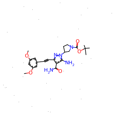 COc1cc(C#Cc2nn(C3CCN(C(=O)OC(C)(C)C)C3)c(N)c2C(N)=O)cc(OC)c1